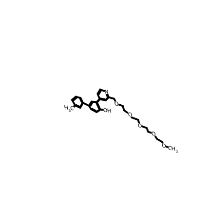 COCCOCCOCCOCCOCc1cc(-c2cc(-c3cccc(C)c3)ccc2O)ccn1